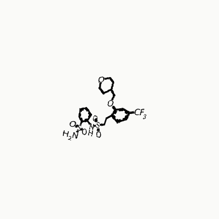 NS(=O)(=O)c1ccccc1NS(=O)(=O)CCc1ccc(C(F)(F)F)cc1OCC1CCOCC1